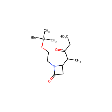 CC(C(=O)CC(=O)O)C1CC(=O)N1CCO[Si](C)(C)C(C)(C)C